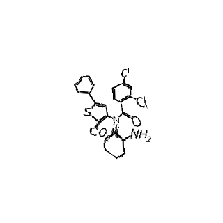 NC1CCCC[C@H]1N(C(=O)c1ccc(Cl)cc1Cl)c1cc(-c2ccccc2)sc1C(=O)O